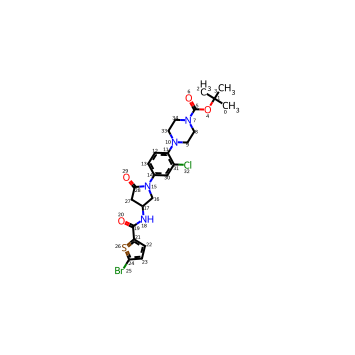 CC(C)(C)OC(=O)N1CCN(c2ccc(N3CC(NC(=O)c4ccc(Br)s4)CC3=O)cc2Cl)CC1